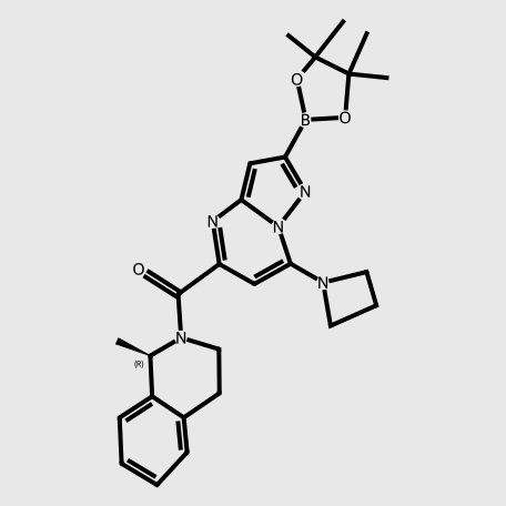 C[C@@H]1c2ccccc2CCN1C(=O)c1cc(N2CCC2)n2nc(B3OC(C)(C)C(C)(C)O3)cc2n1